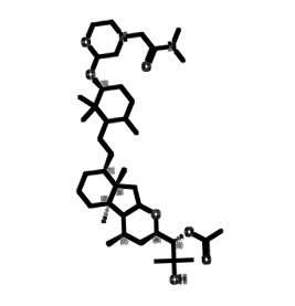 CC(=O)O[C@@H]([C@H]1C[C@@H](C)C2C(C[C@@]3(C)[C@H](CCC4C(C)CC[C@H](OC5CN(CC(=O)N(C)C)CCO5)C4(C)C)CCC[C@]23C)O1)C(C)(C)O